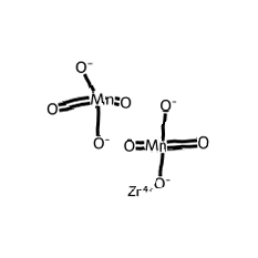 [O]=[Mn](=[O])([O-])[O-].[O]=[Mn](=[O])([O-])[O-].[Zr+4]